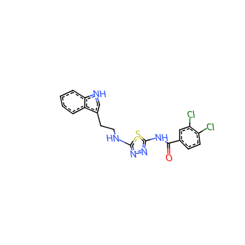 O=C(Nc1nnc(NCCc2c[nH]c3ccccc23)s1)c1ccc(Cl)c(Cl)c1